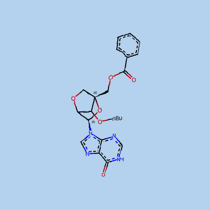 CCCCOC1C2OC[C@]1(COC(=O)c1ccccc1)O[C@H]2n1cnc2c(=O)[nH]cnc21